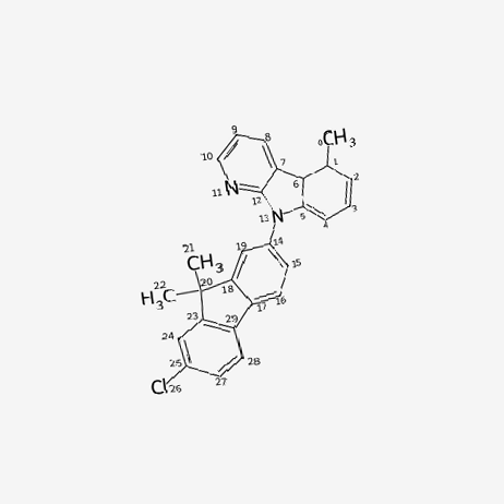 CC1C=CC=C2C1c1cccnc1N2c1ccc2c(c1)C(C)(C)c1cc(Cl)ccc1-2